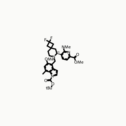 CNc1nc(C(=O)OC)ccc1[C@@H]1CC2(CCN1Cc1c(OC)cc(C)c3c1ccn3C(=O)OC(C)(C)C)CC(F)(F)C2